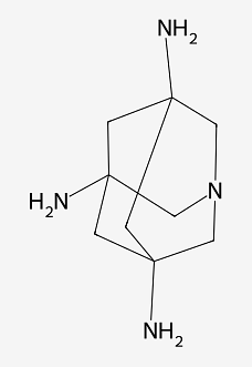 NC12CN3CC(N)(C1)CC(N)(C3)C2